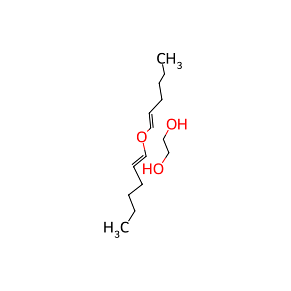 CCCCC=COC=CCCCC.OCCO